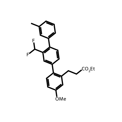 CCOC(=O)CCc1cc(OC)ccc1-c1ccc(-c2cccc(C)c2)c(C(F)F)c1